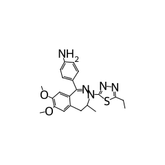 CCc1nnc(N2N=C(c3ccc(N)cc3)c3cc(OC)c(OC)cc3CC2C)s1